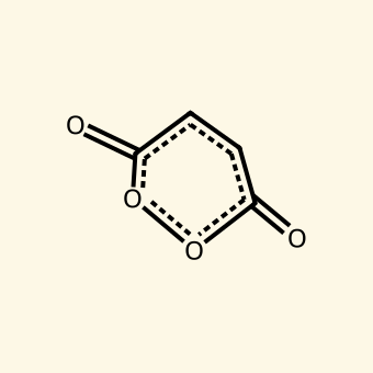 O=c1ccc(=O)oo1